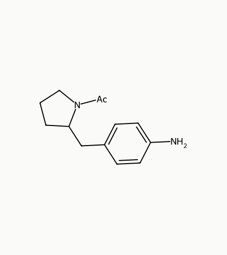 CC(=O)N1CCCC1Cc1ccc(N)cc1